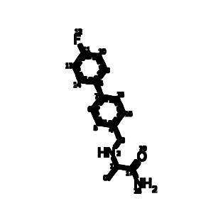 CC(NCc1ccc(-c2ccc(F)cc2)cc1)C(N)=O